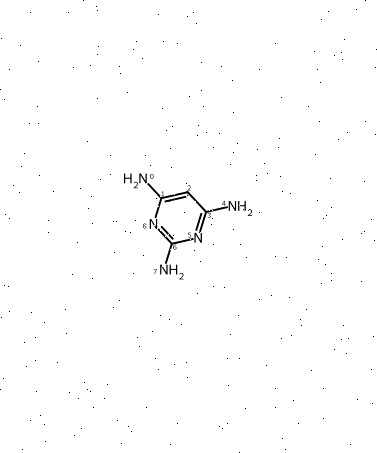 Nc1[c]c(N)nc(N)n1